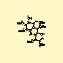 COCC1O[C@@H](O[C@@H]2C(COC)OCC(OC)C2OC)C(OC)C(OC)[C@@H]1O